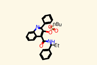 CCCCS(=O)(=O)Oc1c(-c2ccccc2)nc2ccccc2c1C(=O)N[C@@H](CC)c1ccccc1